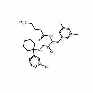 CC(C)(C)c1cccc(C2(NC[C@H](O)[C@H](Cc3cc(F)cc(F)c3)NC(=O)CCCC(=O)O)CCCCC2)c1